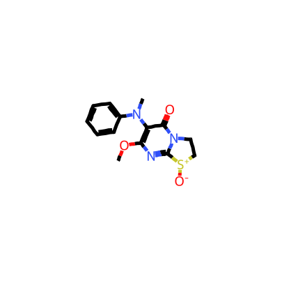 COc1nc2n(c(=O)c1N(C)c1ccccc1)CC[S+]2[O-]